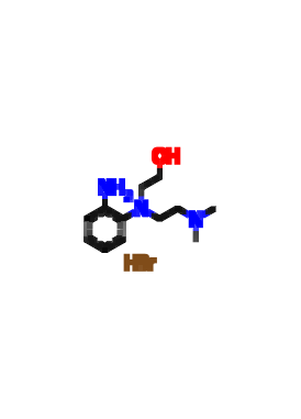 Br.CN(C)CCN(CCO)c1ccccc1N